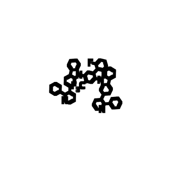 Fc1cccc(F)c1-c1cc(-n2c3ccccc3c3ccc(-c4cccnc4-c4ccccc4)cc32)c(C(F)(F)F)cc1-n1c2ccccc2c2ccc(-c3cccnc3-c3ccccc3)cc21